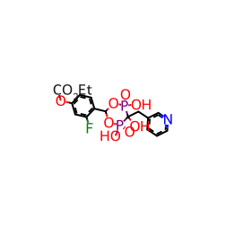 CCOC(=O)Oc1ccc(C2OP(=O)(O)C(O)(Cc3cccnc3)P(=O)(O)O2)c(F)c1